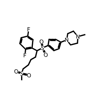 CN1CCN(c2ccc(S(=O)(=O)C(CCCCS(C)(=O)=O)c3cc(F)ccc3F)cc2)CC1